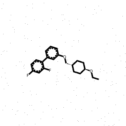 CCO[C@H]1CC[C@H](COc2[c]ccc(-c3ccc(F)cc3F)c2)CC1